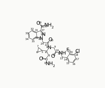 NC(=O)CC(C1CC1)N(CC(=O)NCc1cccc(Cl)c1F)C(=O)Cn1nc(C(N)=O)c2ccccc21